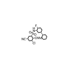 COc1c(Cl)cc(C#N)cc1S(=O)(=O)Nc1cc(-c2ccccc2)ccc1F